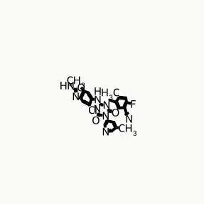 CNc1nc2cc(Cl)c(Nc3nc(=O)n(-c4cncc(C)c4)c(=O)n3Cc3cc(C#N)c(F)cc3C)cc2o1